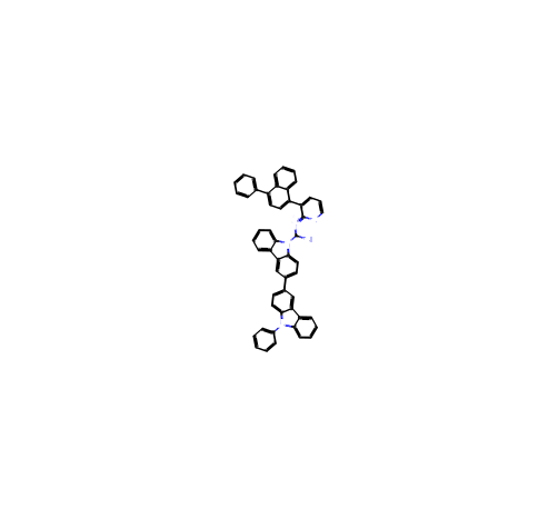 NC(/N=c1\[nH]cccc1-c1ccc(-c2ccccc2)c2ccccc12)n1c2ccccc2c2cc(-c3ccc4c(c3)c3ccccc3n4-c3ccccc3)ccc21